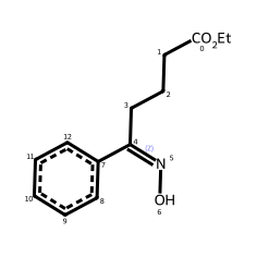 CCOC(=O)CCC/C(=N/O)c1ccccc1